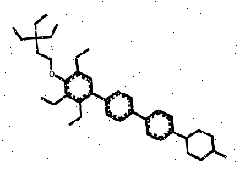 CCc1cc(-c2ccc(-c3ccc(C4CCC(C)CC4)cc3)cc2)c(CC)c(CC)c1OCCC(CC)(CC)CC